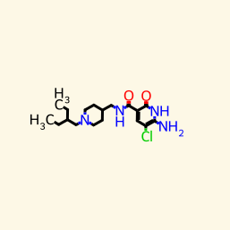 CCC(CC)CN1CCC(CNC(=O)c2cc(Cl)c(N)[nH]c2=O)CC1